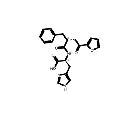 O=C(C[C@@H](Cc1ccccc1)C(=O)N[C@@H](Cc1c[nH]cn1)C(=O)O)c1ccco1